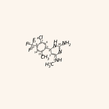 CNC1=CC(c2cc(Cl)c(C(F)(F)F)cc2C)NC(N)=N1